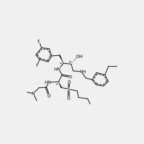 CCCCS(=O)(=O)C[C@@H](NC(=O)CN(C)C)C(=O)N[C@@H](Cc1cc(F)cc(F)c1)[C@H](O)CNCc1cccc(CC)c1